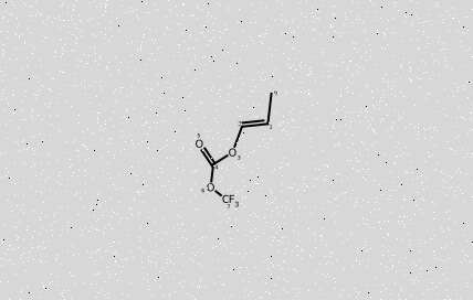 CC=COC(=O)OC(F)(F)F